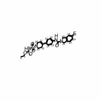 CCOC(=O)NS(=O)(=O)N1CC=C(c2ccc(NC(=O)N3Cc4ccc(F)cc4C3)cc2)CC1